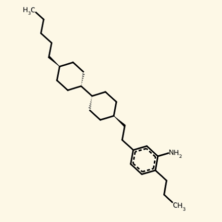 CCCCC[C@H]1CC[C@H]([C@H]2CC[C@H](CCc3ccc(CCC)c(N)c3)CC2)CC1